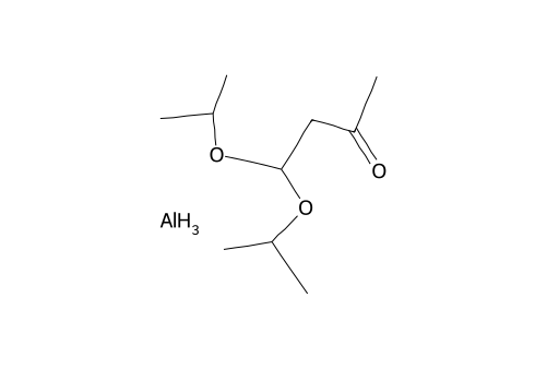 CC(=O)CC(OC(C)C)OC(C)C.[AlH3]